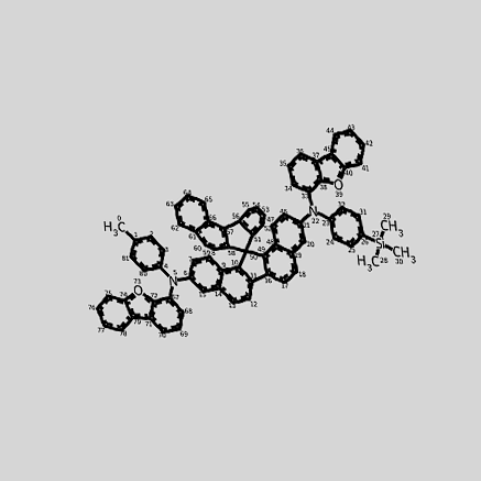 Cc1ccc(N(c2ccc3c4c(ccc3c2)-c2ccc3cc(N(c5ccc([Si](C)(C)C)cc5)c5cccc6c5oc5ccccc56)ccc3c2C42c3ccccc3-c3c2ccc2ccccc32)c2cccc3c2oc2ccccc23)cc1